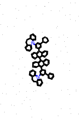 c1ccc(-c2cc(-c3c4ccccc4c(-c4c5ccccc5c(-c5cc(C6CCCCC6)cc(N6c7ccccc7CCc7ccccc76)c5)c5ccccc45)c4ccccc34)cc(N3c4ccccc4CCc4ccccc43)c2)cc1